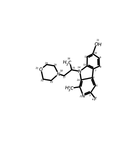 Cc1nc(F)cc2c3ccc(O)cc3n(C(C)CN3CCOCC3)c12